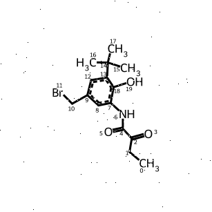 CCC(=O)C(=O)Nc1cc(CBr)cc(C(C)(C)C)c1O